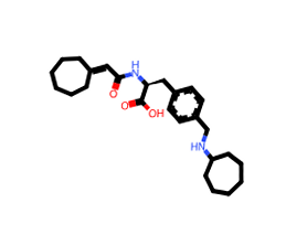 O=C(C=C1CCCCCC1)N[C@@H](Cc1ccc(CNC2CCCCCC2)cc1)C(=O)O